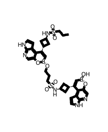 CCCS(=O)(=O)N[C@H]1C[C@H](C2=CB(OCCCS(=O)(=O)N[C@H]3C[C@@H](C4=CB(O)Oc5cnc6[nH]ccc6c54)C3)Oc3cnc4[nH]ccc4c32)C1